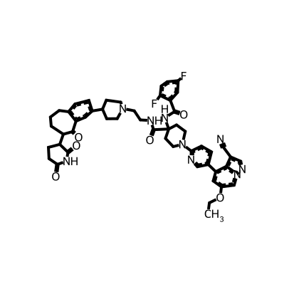 CCOc1cc(-c2ccc(N3CCC(NC(=O)c4cc(F)ccc4F)(C(=O)NCCN4CCC(c5ccc6c(c5)C(=O)C(C5CCC(=O)NC5=O)CCC6)CC4)CC3)nc2)c2c(C#N)cnn2c1